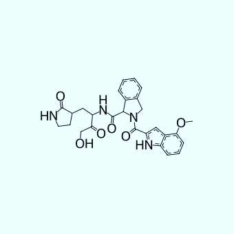 COc1cccc2[nH]c(C(=O)N3Cc4ccccc4C3C(=O)NC(CC3CCNC3=O)C(=O)CO)cc12